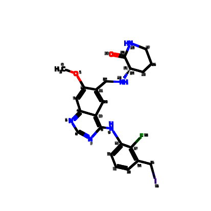 COc1cc2ncnc(Nc3cccc(CI)c3F)c2cc1CN[C@H]1CCCNC1=O